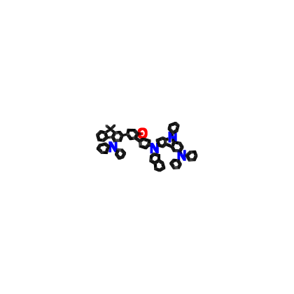 CC1(C)c2ccccc2-c2c(N(c3ccccc3)c3ccccc3)cc(-c3ccc4oc5cc(N(c6ccc7ccccc7c6)c6ccc7c(c6)c6cc(N(c8ccccc8)c8ccccc8)ccc6n7-c6ccccc6)ccc5c4c3)cc21